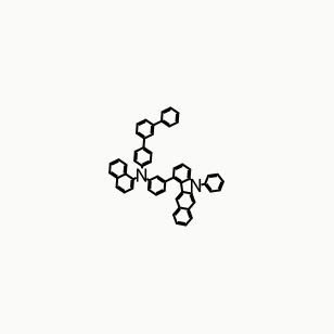 c1ccc(-c2cccc(-c3ccc(N(c4cccc(-c5cccc6c5c5cc7ccccc7cc5n6-c5ccccc5)c4)c4cccc5ccccc45)cc3)c2)cc1